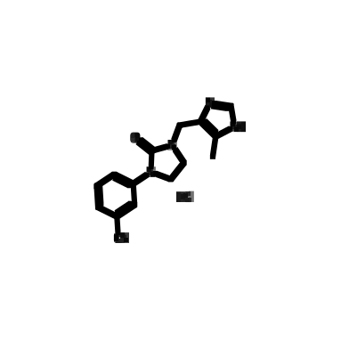 Cc1[nH]cnc1CN1CCN(c2cccc(C#N)c2)C1=O.Cl